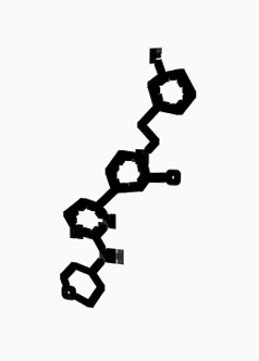 O=c1cc(-c2ccnc(NC3CCOCC3)n2)ccn1CCc1cccc(F)c1